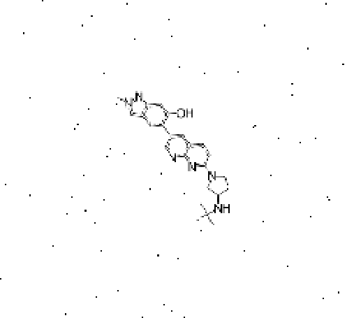 Cn1cc2cc(-c3cnc4nc(N5CCC(NC(C)(C)C)C5)ccc4c3)c(O)cc2n1